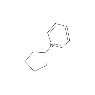 c1cc[n+](C2CCCC2)cc1